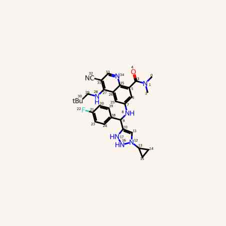 CN(C)C(=O)c1cc(NC(C2=CN(C3CC3)NN2)c2ccc(F)cc2)cc2c(NCC(C)(C)C)c(C#N)cnc12